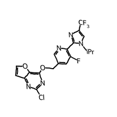 CC(C)n1cc(C(F)(F)F)nc1-c1ncc(COc2nc(Cl)nc3ccoc23)cc1F